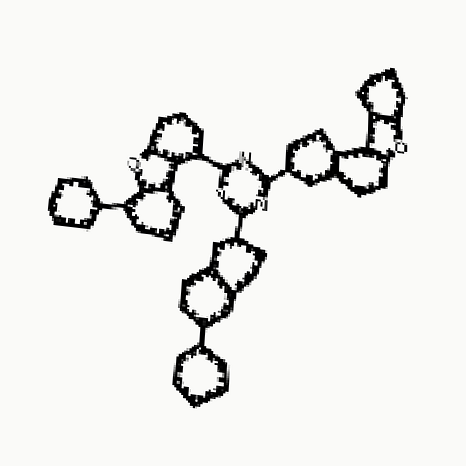 c1ccc(-c2ccc3cc(-c4nc(-c5ccc6c(ccc7oc8ccccc8c76)c5)nc(-c5cccc6oc7c(-c8ccccc8)cccc7c56)n4)ccc3c2)cc1